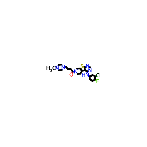 CN1CCN(CC=CC(=O)N2CCc3c(sc4ncnc(Nc5ccc(F)c(Cl)c5)c34)C2)CC1